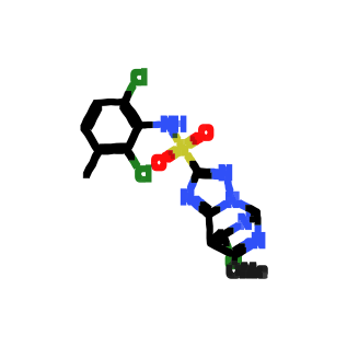 COc1nc2nc(Cl)c1c1nc(S(=O)(=O)Nc3c(Cl)ccc(C)c3Cl)nn21